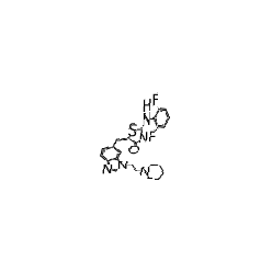 O=C1N=C(Nc2c(F)cccc2F)SC1=Cc1ccc2ncn(CCN3CCCCC3)c2c1